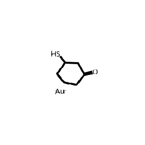 O=C1CCCC(S)C1.[Au]